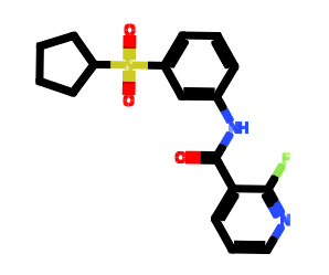 O=C(Nc1cccc(S(=O)(=O)C2CCCC2)c1)c1cccnc1F